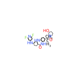 CC(C)(C(=O)N1CCC[C@@H](O)C1)c1ccc2c(c1)NC(=O)C1=C(C=C(Nc3cc(F)nc(F)c3)CC1)N2